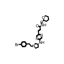 O=C(C=Cc1cnc(N[C@@H]2CCN(CCc3ccc(Br)cc3)C2)cn1)NOC1CCCCO1